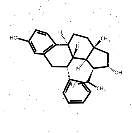 CC(C)[C@H]1[C@H]2[C@H]3[C@H](CC[C@]2(C)C[C@@H]1O)c1ccc(O)cc1C[C@H]3c1ccccc1